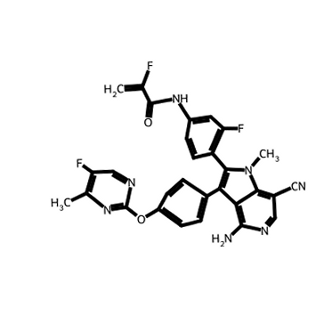 C=C(F)C(=O)Nc1ccc(-c2c(-c3ccc(Oc4ncc(F)c(C)n4)cc3)c3c(N)ncc(C#N)c3n2C)c(F)c1